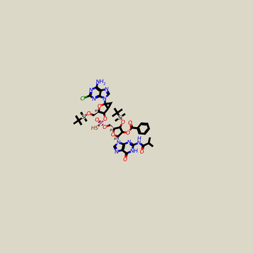 CC(C)C(=O)Nc1nc2c(ncn2[C@@H]2O[C@H](COP(=O)(S)OC3C4CC4(n4cnc5c(N)nc(Cl)nc54)O[C@@H]3CO[Si](C)(C)C(C)(C)C)C(O[Si](C)(C)C(C)(C)C)C2OC(=O)c2ccccc2)c(=O)[nH]1